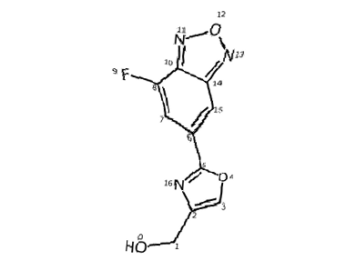 OCc1coc(-c2cc(F)c3nonc3c2)n1